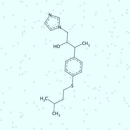 CC(C)CCSc1ccc(C(C)C(O)Cn2ccnc2)cc1